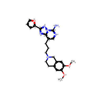 COc1cc2c(cc1OC)CN(CCCc1cnc(N)n3nc(-c4ccco4)nc13)CC2